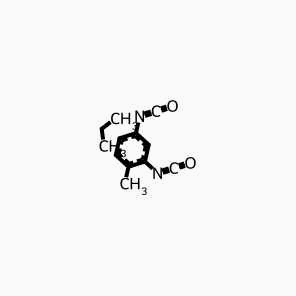 CCC.Cc1ccc(N=C=O)cc1N=C=O